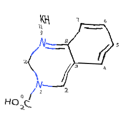 O=C(O)N1C=c2ccccc2=NC1.[KH]